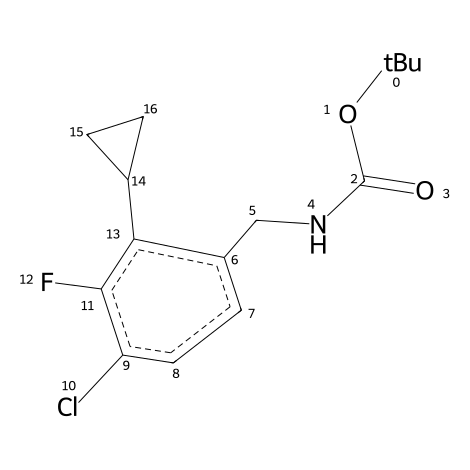 CC(C)(C)OC(=O)NCc1ccc(Cl)c(F)c1C1CC1